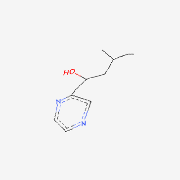 CC(C)CC(O)c1cnccn1